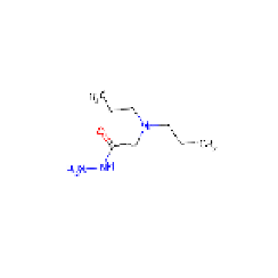 CCCN(CCC)CC(=O)NN